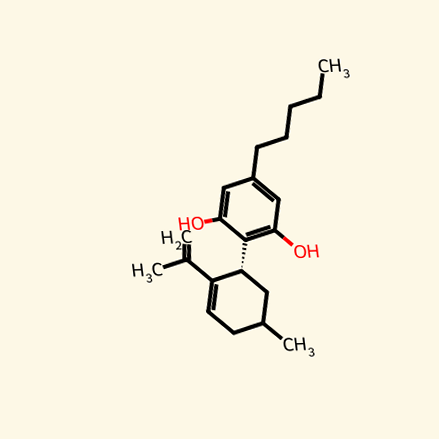 C=C(C)C1=CCC(C)C[C@H]1c1c(O)cc(CCCCC)cc1O